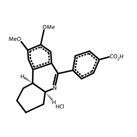 COc1cc2c(cc1OC)[C@@H]1CCCC[C@@H]1N=C2c1ccc(C(=O)O)cc1.Cl